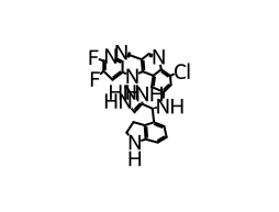 N#Cc1cnc2c(Cl)cc(N[C@H](C3=CNNN3)c3cccc4c3CCN4)cc2c1Nc1cnc(F)c(F)c1